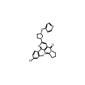 O=c1c2cc(N3CC[C@@H](Oc4ccncc4)C3)nc(-c3ccc(Cl)cc3F)c2nc2n1CCC2